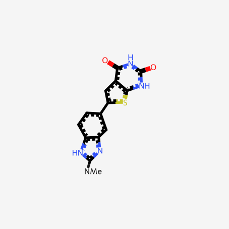 CNc1nc2cc(-c3cc4c(=O)[nH]c(=O)[nH]c4s3)ccc2[nH]1